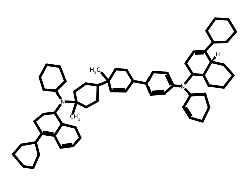 CC1(C2CCC(C)(N(C3CCCCC3)C3CCC(C4CCCCC4)=C4C=CCCC43)CC2)C=CC(C2C=CC(N(C3C=CCCC3)C3CC=C(C4CCCCC4)[C@@H]4CCCCC34)=CC2)CC1